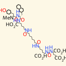 CNC(Cc1ccc(O)cc1)C(=O)N[C@H](Cc1ccc2ccccc2c1)C(=O)N[C@H](CCCCNC(=O)CCCCCCC(=O)NCCCCC(NC(=O)N[C@@H](CCC(=O)O)C(=O)O)C(=O)O)C(=O)O